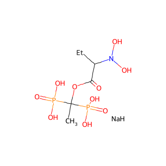 CCC(C(=O)OC(C)(P(=O)(O)O)P(=O)(O)O)N(O)O.[NaH]